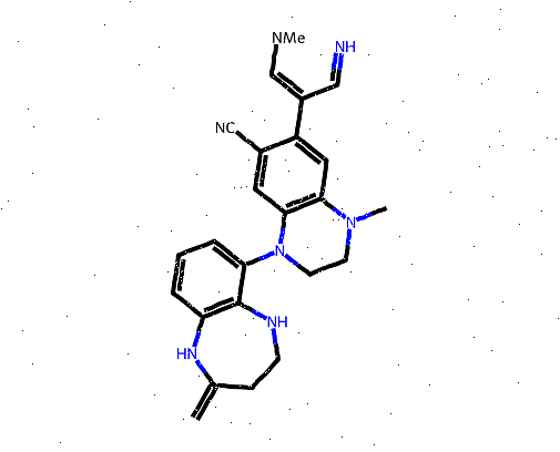 C=C1CCNc2c(cccc2N2CCN(C)c3cc(/C(C=N)=C/NC)c(C#N)cc32)N1